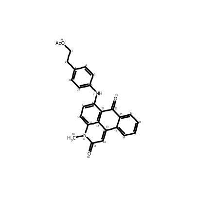 CC(=O)OCCc1ccc(Nc2ccc3c4c(cc(=O)n3C)-c3ccccc3C(=O)c24)cc1